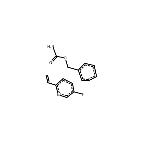 C=Cc1ccc(F)cn1.NC(=O)OCc1ccccc1